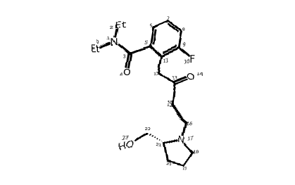 CCN(CC)C(=O)c1cccc(F)c1CC(=O)CCN1CCC[C@@H]1CO